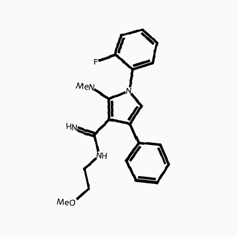 CNc1c(C(=N)NCCOC)c(-c2ccccc2)cn1-c1ccccc1F